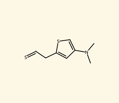 CN(C)c1csc(C[C]=S)c1